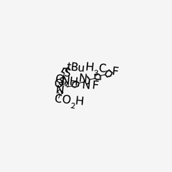 Cc1cc(F)ccc1-c1ccc(-c2cnc(-c3ccc(C[C@H](NC(=O)c4ccc(C(C)(C)C)s4)C(=O)N4CC(C(=O)O)C4)cc3)nc2)c(F)c1